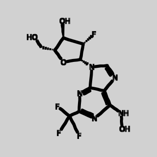 OC[C@H]1O[C@@H](n2cnc3c(NO)nc(C(F)(F)F)nc32)[C@@H](F)[C@@H]1O